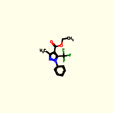 CCOC(=O)c1c(C)nn(-c2ccccc2)c1C(F)(F)F